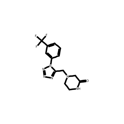 O=C1CN(Cc2nnnn2-c2cccc(C(F)(F)F)c2)CCN1